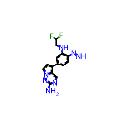 N=Nc1ccc(-c2ccn3nc(N)ncc23)cc1NCC(F)F